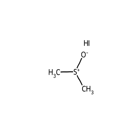 C[S+](C)[O-].I